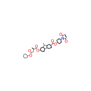 C=C(CC(=O)OC1CCCCC1)C(=O)Oc1ccc2c(c1)C(C)c1cc(C(=O)Oc3ccc(N4C(=O)C=CC4=O)cc3)ccc1-2